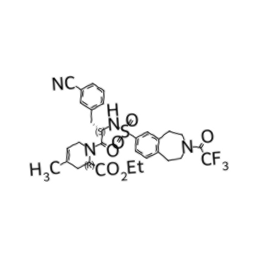 CCOC(=O)[C@H]1CC(C)=CCN1C(=O)[C@H](Cc1cccc(C#N)c1)NS(=O)(=O)c1ccc2c(c1)CCN(C(=O)C(F)(F)F)CC2